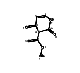 CCCCOC(=O)n1c(=O)cc[nH]c1=O